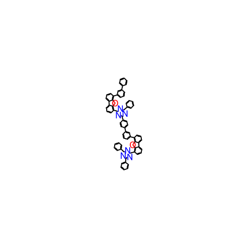 c1ccc(-c2cccc(-c3cccc4c3oc3c(-c5nc(-c6ccccc6)nc(-c6ccc(-c7cccc(-c8cccc9c8oc8c(-c%10nc(-c%11ccccc%11)nc(-c%11ccccc%11)n%10)cccc89)c7)cc6)n5)cccc34)c2)cc1